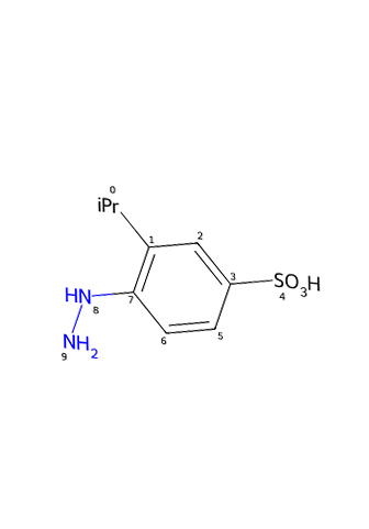 CC(C)c1cc(S(=O)(=O)O)ccc1NN